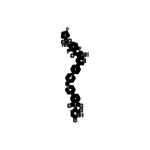 O=C1CCC(N2C(=O)c3ccc(C4CCN(CC5CCN(c6ccc(-c7cnc8[nH]cc(C(=O)c9c(F)ccc(NS(=O)(=O)N%10CC[C@@H](F)C%10)c9F)c8c7)cc6)CC5)CC4)cc3C2=O)C(=O)N1